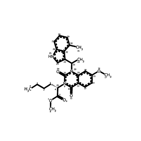 CCCC[C@@H](C(=O)OC)n1c(=O)c2ccc(OC)cc2n(C(C)c2c[nH]c3cccc(C)c23)c1=O